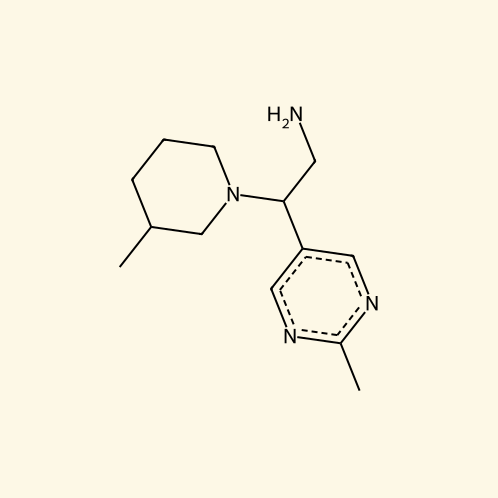 Cc1ncc(C(CN)N2CCCC(C)C2)cn1